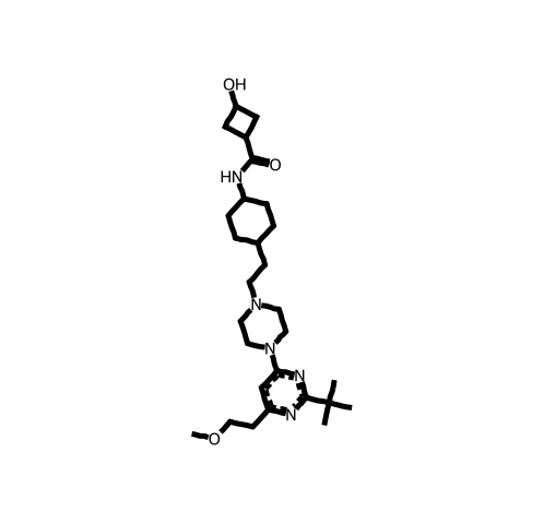 COCCc1cc(N2CCN(CCC3CCC(NC(=O)C4CC(O)C4)CC3)CC2)nc(C(C)(C)C)n1